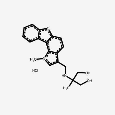 Cl.Cn1cc(CNC(C)(CO)CO)c2ccc3oc4ccccc4c3c21